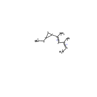 CCCC(=C/N)/C=C(\N)C1CC1CC(C)(C)C